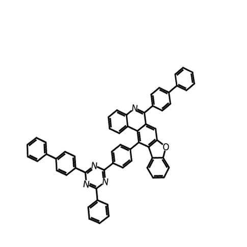 c1ccc(-c2ccc(-c3nc(-c4ccccc4)nc(-c4ccc(-c5c6c(cc7c(-c8ccc(-c9ccccc9)cc8)nc8ccccc8c57)oc5ccccc56)cc4)n3)cc2)cc1